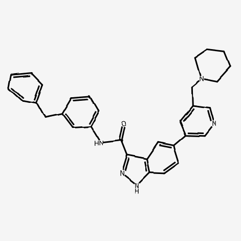 O=C(Nc1cccc(Cc2ccccc2)c1)c1n[nH]c2ccc(-c3cncc(CN4CCCCC4)c3)cc12